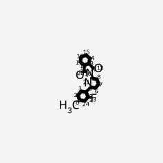 Cc1ccc(-c2cccc(N3C(=O)c4ccccc4C3=O)n2)c(F)c1